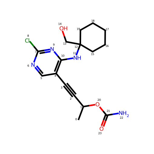 CC(C#Cc1cnc(Cl)nc1NC1(CO)CCCCC1)OC(N)=O